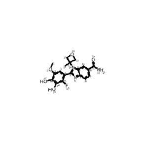 COc1cc(-c2nc3ccc(C(N)=O)cc3n2C2(C)COC2)c(F)c(O)c1O